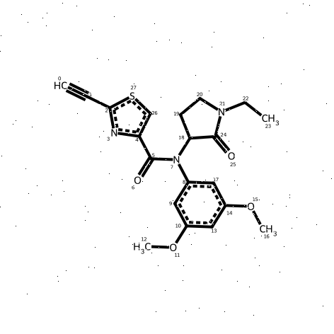 C#Cc1nc(C(=O)N(c2cc(OC)cc(OC)c2)C2CCN(CC)C2=O)cs1